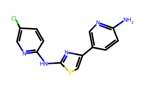 Nc1ccc(-c2csc(Nc3ccc(Cl)cn3)n2)cn1